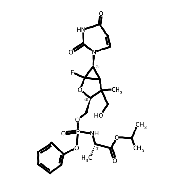 CC(C)OC(=O)[C@H](C)NP(=O)(OC[C@H]1OC2(F)C([C@@H]2n2ccc(=O)[nH]c2=O)C1(C)CO)Oc1ccccc1